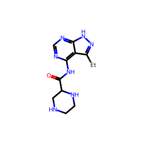 CCc1n[nH]c2ncnc(NC(=O)C3CNCCN3)c12